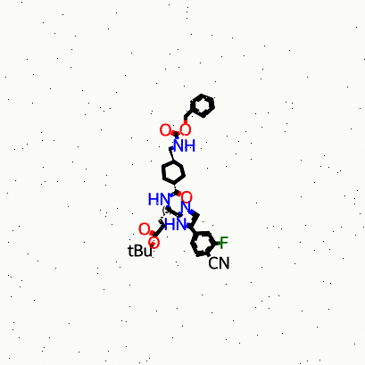 CC(C)(C)OC(=O)CC[C@H](NC(=O)[C@H]1CC[C@H](CNC(=O)OCc2ccccc2)CC1)c1ncc(-c2ccc(C#N)c(F)c2)[nH]1